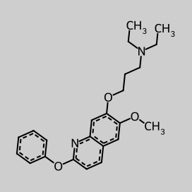 CCN(CC)CCCOc1cc2nc(Oc3ccccc3)ccc2cc1OC